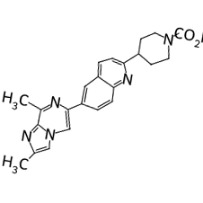 Cc1cn2cc(-c3ccc4nc(C5CCN(C(=O)O)CC5)ccc4c3)nc(C)c2n1